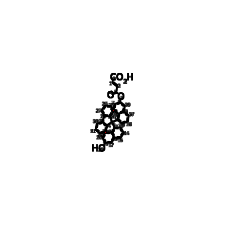 O=C(O)C=CC(=O)Oc1ccc2c(C3(c4cccc5cc(O)ccc45)c4ccccc4-c4ccccc43)cccc2c1